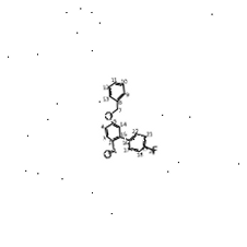 O=Cc1ccc(OCc2ccccc2)cc1-c1ccc(F)cc1